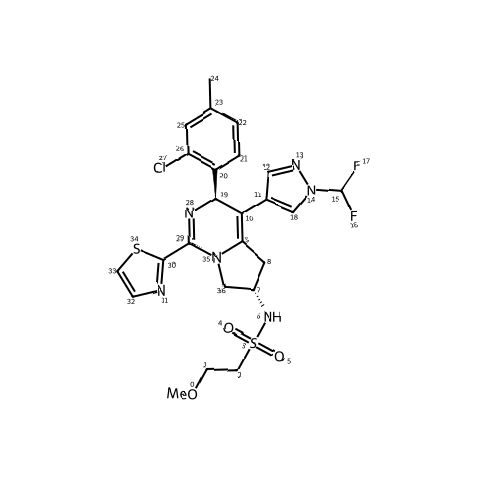 COCCS(=O)(=O)N[C@H]1CC2=C(c3cnn(C(F)F)c3)[C@H](c3ccc(C)cc3Cl)N=C(c3nccs3)N2C1